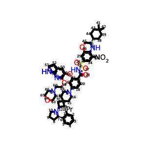 CC(C)c1ccccc1[C@H]1CCCN1C1CC2(CCN(c3ccc(C(=O)NS(=O)(=O)c4cc5c(c([N+](=O)[O-])c4)N[C@@H](C4CCC(C)(C)CC4)CO5)c(Oc4cc5cc[nH]c5nc4OCCN4CCOCC4)c3)CC2)C1